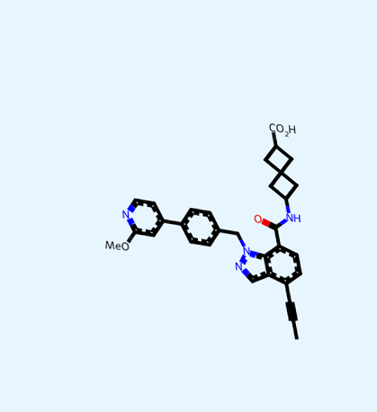 CC#Cc1ccc(C(=O)NC2CC3(C2)CC(C(=O)O)C3)c2c1cnn2Cc1ccc(-c2ccnc(OC)c2)cc1